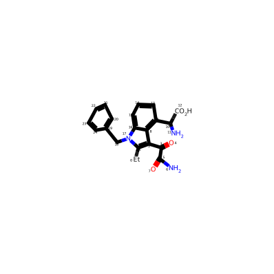 CCc1c(C(=O)C(N)=O)c2c(C(N)C(=O)O)cccc2n1Cc1ccccc1